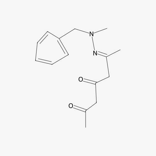 CC(=O)CC(=O)C/C(C)=N/N(C)Cc1ccccc1